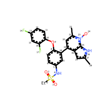 CCS(=O)(=O)Nc1ccc(Oc2ccc(F)cc2F)c(-c2cc(C)[n+]([O-])c3[nH]c(C)cc23)c1